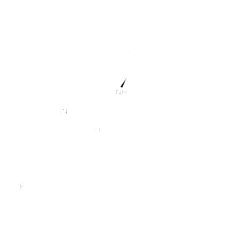 O=C(CN[C@H]1CC1c1ccccc1)Nc1ccc(F)cc1